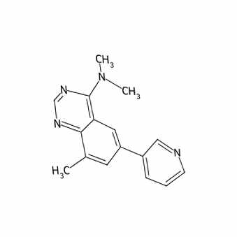 Cc1cc(-c2cccnc2)cc2c(N(C)C)ncnc12